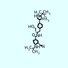 CC(C)Nc1ccc(C(=O)N[C@H](CCO)Cc2ccc(-c3c[nH]c(C(C)(C)C)n3)cc2)cc1C#N